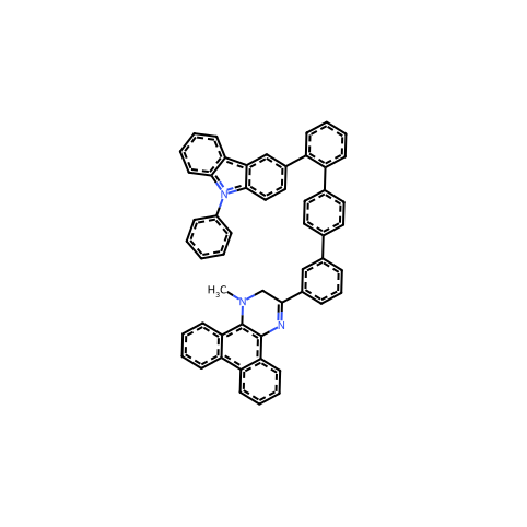 CN1CC(c2cccc(-c3ccc(-c4ccccc4-c4ccc5c(c4)c4ccccc4n5-c4ccccc4)cc3)c2)=Nc2c1c1ccccc1c1ccccc21